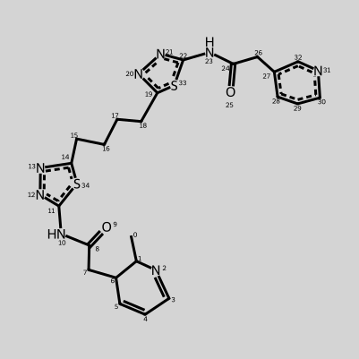 CC1N=CC=CC1CC(=O)Nc1nnc(CCCCc2nnc(NC(=O)Cc3cccnc3)s2)s1